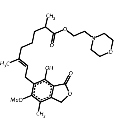 COc1c(C)c2c(c(O)c1C/C=C(\C)CCCC(C)C(=O)OCCN1CCOCC1)C(=O)OC2